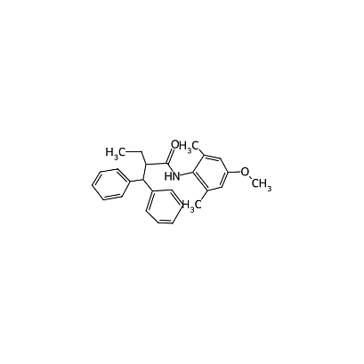 CCC(C(=O)Nc1c(C)cc(OC)cc1C)C(c1ccccc1)c1ccccc1